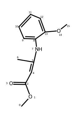 COC(=O)/C=C(\C)Nc1ccccc1OC